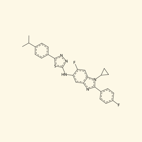 CC(C)c1ccc(-c2nnc(Nc3cc4nc(-c5ccc(F)cc5)n(C5CC5)c4cc3F)s2)cc1